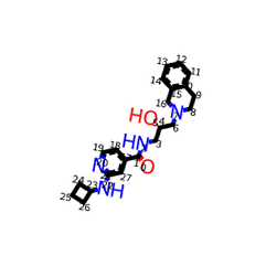 O=C(NC[C@H](O)CN1CCc2ccccc2C1)c1ccnc(NC2CCC2)c1